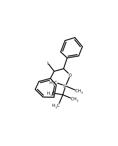 CC(C)(C)[Si](C)(C)OC(c1ccccc1)C(I)c1ccccc1